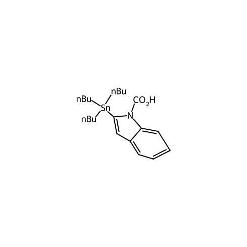 CCC[CH2][Sn]([CH2]CCC)([CH2]CCC)[c]1cc2ccccc2n1C(=O)O